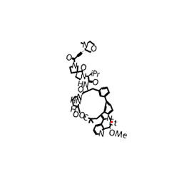 CCn1c(-c2cccnc2[C@H](C)OC)c2c3cc(ccc31)-c1cccc(c1)C[C@H](NC(=O)[C@H](C(C)C)N1CC[C@]3(CCN(C(=O)C#C[C@H]4COCCN4C)C3)C1=O)C(=O)N1CCC[C@H](N1)C(=O)OCC(C)(C)C2